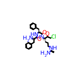 C=C(N)NCCC[C@H](NC(=O)[C@H](Cc1ccccc1)NC(=O)[C@H](N)Cc1ccccc1)C(=O)CCl